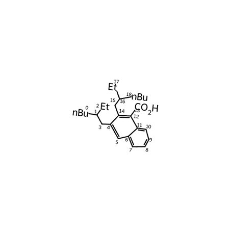 CCCCC(CC)Cc1cc2ccccc2c(C(=O)O)c1CC(CC)CCCC